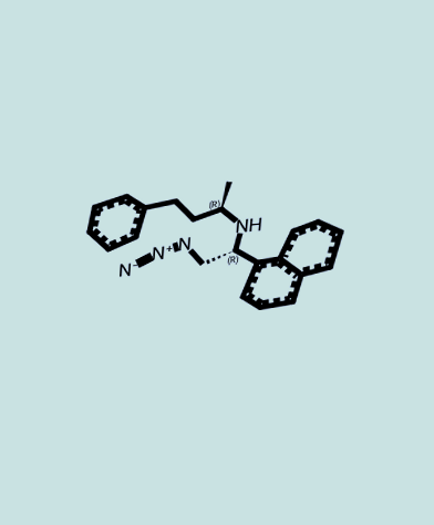 C[C@H](CCc1ccccc1)N[C@@H](CN=[N+]=[N-])c1cccc2ccccc12